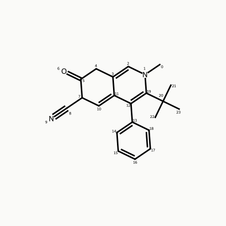 CN1C=C2CC(=O)C(C#N)C=C2C(c2ccccc2)=C1C(C)(C)C